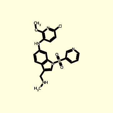 CNCc1cn(S(=O)(=O)c2cccnc2)c2cc(Nc3ccc(Cl)nc3OC)ccc12